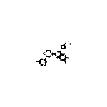 Cc1cc([C@@H]2CN(c3nc4nc(C)c(C)nc4c([C@H]4C[C@H](C(F)(F)F)C4)n3)CCO2)cnn1